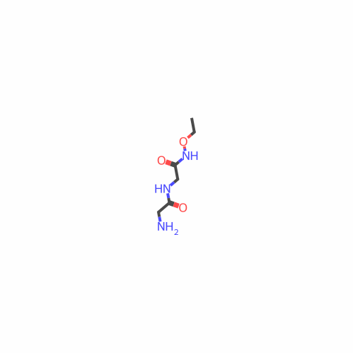 CCONC(=O)CNC(=O)CN